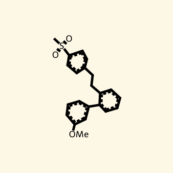 COc1cccc(-c2ccccc2CCc2ccc(S(C)(=O)=O)cc2)c1